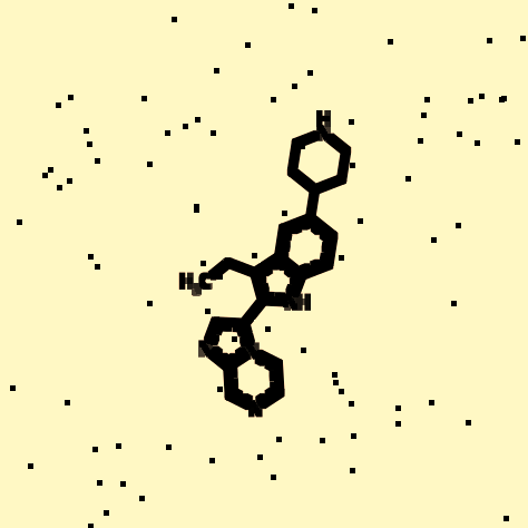 CCc1c(-c2cnc3cnccn23)[nH]c2ccc(C3CCNCC3)cc12